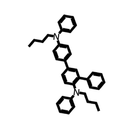 CCCCN(c1ccccc1)c1ccc(-c2ccc(N(CCCC)c3ccccc3)c(-c3ccccc3)c2)cc1